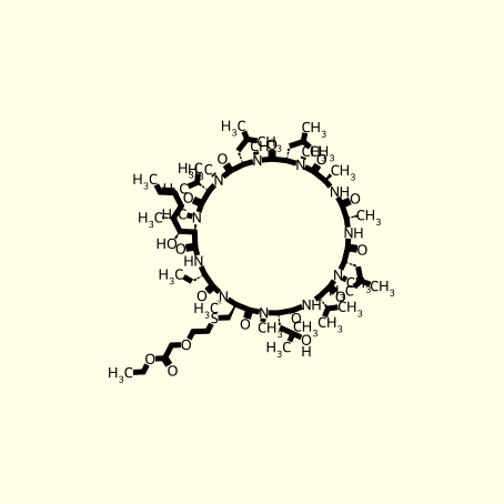 C/C=C/C[C@@H](C)[C@@H](O)[C@H]1C(=O)N[C@@H](CC)C(=O)N(C)[C@H](CSCCOCC(=O)OCC)C(=O)N(C)[C@@H](CC(C)(C)O)C(=O)N[C@@H](C(C)C)C(=O)N(C)[C@@H](CC(C)C)C(=O)N[C@@H](C)C(=O)N[C@H](C)C(=O)N(C)[C@@H](CC(C)C)C(=O)N(C)[C@@H](CC(C)C)C(=O)N(C)[C@@H](C(C)C)C(=O)N1C